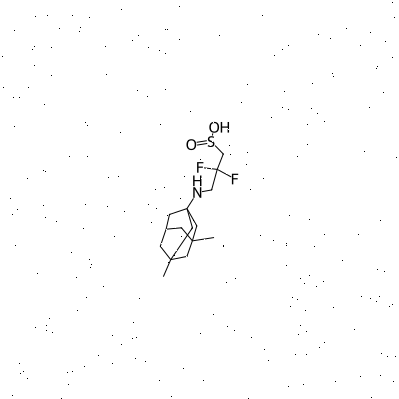 CC12CC3CC(C)(C1)CC(NCC(F)(F)CS(=O)O)(C3)C2